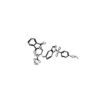 Cc1ccc(S(=O)(=O)n2ncc3cc(C[C@@H](CN4C(=O)c5ccccc5C4=O)NC(=O)OC(C)(C)C)ccc32)cc1